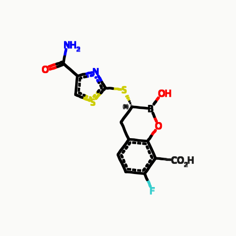 NC(=O)c1csc(S[C@H]2Cc3ccc(F)c(C(=O)O)c3OB2O)n1